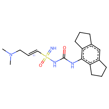 CN(C)C/C=C/S(=N)(=O)NC(=O)Nc1c2c(cc3c1CCC3)CCC2